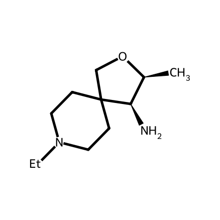 CCN1CCC2(CC1)CO[C@@H](C)[C@H]2N